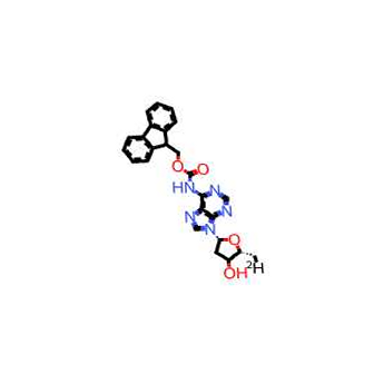 [2H]C[C@H]1O[C@@H](n2cnc3c(NC(=O)OCC4c5ccccc5-c5ccccc54)ncnc32)CC1O